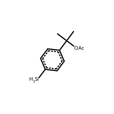 CC(=O)OC(C)(C)c1ccc([SiH3])cc1